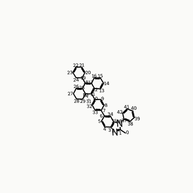 Cc1nc2ccc(-c3ccc(C4=c5ccccc5=C(C5C=CC=CC5)C5=CCCC[C@@]54C)cc3)cc2n1-c1ccccc1